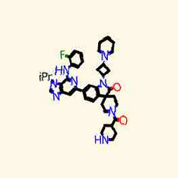 CC(C)n1cnc2cc(-c3ccc4c(c3)N([C@H]3C[C@@H](N5CCCCC5)C3)C(=O)C43CCN(C(=O)C4CCNCC4)CC3)nc(Nc3ccccc3F)c21